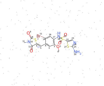 COc1cc(/C=C2\SC(=O)N(C)C2=O)c(Br)cc1NS(=O)(=O)c1cnc(N)s1